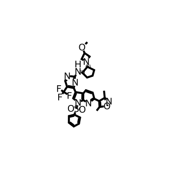 COC1CN([C@@H]2CCC[C@@H]2Nc2ncc(C(F)(F)F)c(-c3cn(S(=O)(=O)c4ccccc4)c4nc(-c5c(C)noc5C)ccc34)n2)C1